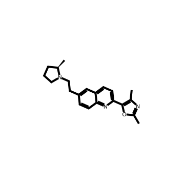 Cc1nc(C)c(-c2ccc3cc(CCN4CCC[C@H]4C)ccc3n2)o1